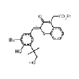 CCOC(=O)CN1C(=O)/C(=C/c2cc(C(C)(C)C)c(O)c(C(C)(C)CO)c2)Sc2ccccc21